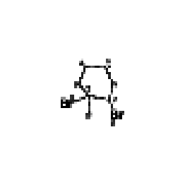 CC1(Br)CC[CH]CC1Br